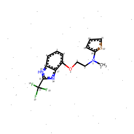 CN(CCOc1cccc2[nH]c(C(F)(F)F)nc12)c1cccs1